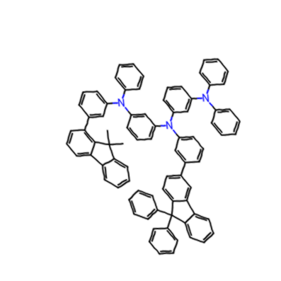 CC1(C)c2ccccc2-c2cccc(-c3cccc(N(c4ccccc4)c4cccc(N(c5cccc(-c6ccc7c(c6)-c6ccccc6C7(c6ccccc6)c6ccccc6)c5)c5cccc(N(c6ccccc6)c6ccccc6)c5)c4)c3)c21